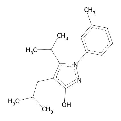 Cc1cccc(-n2nc(O)c(CC(C)C)c2C(C)C)c1